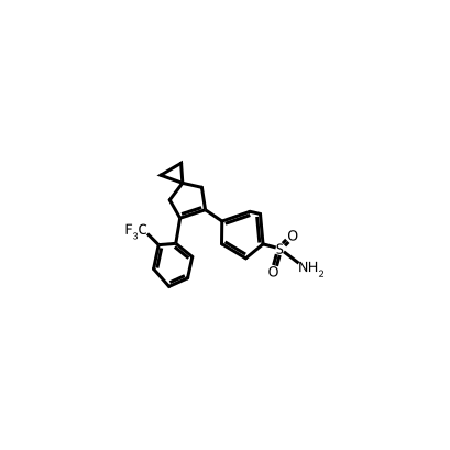 NS(=O)(=O)c1ccc(C2=C(c3ccccc3C(F)(F)F)CC3(CC3)C2)cc1